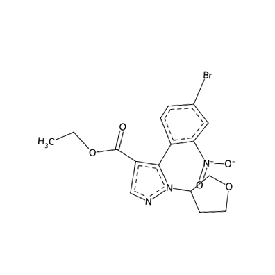 CCOC(=O)c1cnn(C2CCOC2)c1-c1ccc(Br)cc1[N+](=O)[O-]